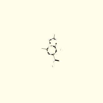 Br.COC(=O)c1cc(Cl)n2cc(C)nc2c1